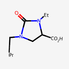 CCN1C(=O)N(CC(C)C)CC1C(=O)O